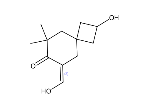 CC1(C)CC2(C/C(=C/O)C1=O)CC(O)C2